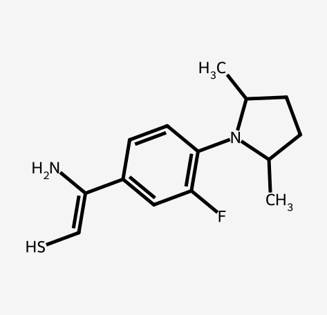 CC1CCC(C)N1c1ccc(/C(N)=C/S)cc1F